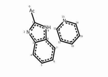 CC(=O)c1nc2ccccc2[nH]1.c1ccncc1